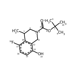 CC1CN(C(=O)OC(C)(C)C)Cc2c(O)ccc(F)c21